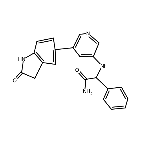 NC(=O)C(Nc1cncc(-c2ccc3c(c2)CC(=O)N3)c1)c1ccccc1